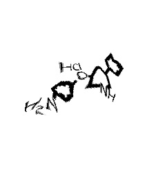 Cl.Nc1ccc(OC2CNCC(c3ccccc3)C2)cc1